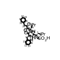 CC(C)C[C@H](NC(=O)O)C(=O)N[C@@H](Cc1ccccc1)C(=O)NN(CC(C)C)C(=O)C(=O)Cc1ccccc1